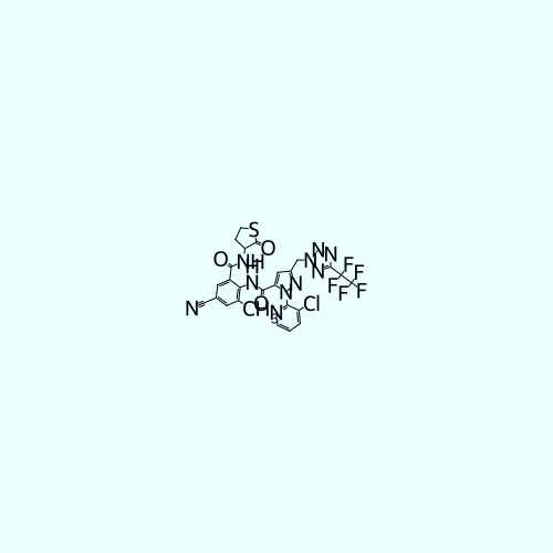 Cc1cc(C#N)cc(C(=O)NC2CCSC2=O)c1NC(=O)c1cc(Cn2nnc(C(F)(F)C(F)(F)F)n2)nn1-c1ncccc1Cl